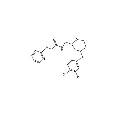 O=C(CSc1cnccn1)NCC1CN(Cc2ccc(Cl)c(Cl)c2)CCO1